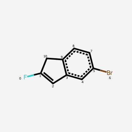 FC1=Cc2cc(Br)ccc2C1